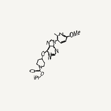 COc1ccc(-n2cnc3c(OC4CCN(C(=O)OC(C)C)CC4)ncnc32)c(C)n1